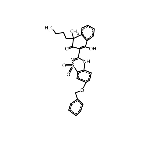 CCCCC1(C)C(=O)C(C2=NS(=O)(=O)c3cc(OCc4ccccc4)ccc3N2)=C(O)c2ccccc21